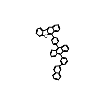 c1cc(-c2ccc3ccccc3c2)cc(-c2c3ccccc3c(-c3ccc(-c4c5ccccc5cc5c4oc4ccccc45)cc3)c3ccccc23)c1